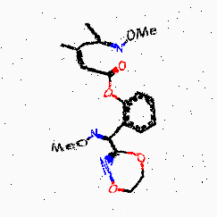 CON=C(C)C(C)=CC(=O)Oc1ccccc1C(=NOC)C1=NOCCO1